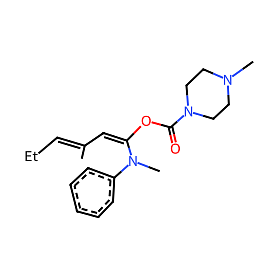 CC/C=C(C)/C=C(/OC(=O)N1CCN(C)CC1)N(C)c1ccccc1